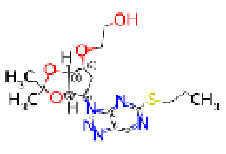 CCCSc1ncc2nnn([C@@H]3C[C@H](OCCO)[C@H]4OC(C)(C)O[C@H]43)c2n1